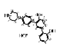 Cl.Nc1nnc(-c2ccccc2O)cc1-c1ccc(N2CCNCC2)cc1